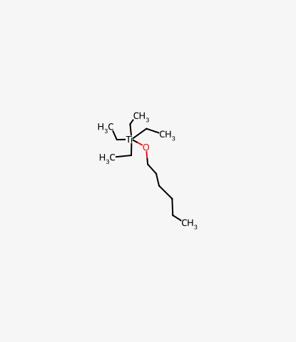 CCCCCC[O][Ti]([CH2]C)([CH2]C)([CH2]C)[CH2]C